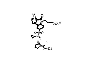 CC(C)(C)OC(=O)N1CCC[C@@H]1CN(C1CC1)S(=O)(=O)c1ccc2c(c1)c1cc[nH]c1c(=O)n2CCCC(=O)O